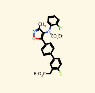 CCOC(=O)Cc1cc(-c2ccc(-c3onc(C)c3N(C(=O)OCC)c3ccccc3Cl)cc2)ccc1F